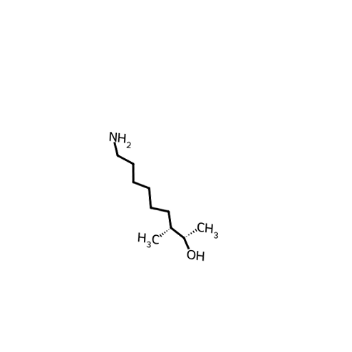 C[C@H](O)[C@H](C)CCCCCCN